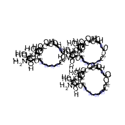 C[C@@H]1C/C=C/C=C/C=C/C=C/[C@H](O[C@@H]2O[C@H](C)[C@@H](O)[C@H](N)[C@@H]2O)C[C@@H]2O[C@](O)(C[C@@H](O)C[C@H]3O[C@@H]3/C=C/C(=O)O1)C[C@H](O)[C@H]2C(=O)O.C[C@@H]1C/C=C/C=C/C=C/C=C/[C@H](O[C@@H]2O[C@H](C)[C@@H](O)[C@H](N)[C@@H]2O)C[C@@H]2O[C@](O)(C[C@@H](O)C[C@H]3O[C@@H]3/C=C/C(=O)O1)C[C@H](O)[C@H]2C(=O)O.C[C@@H]1C/C=C/C=C/C=C/C=C/[C@H](O[C@@H]2O[C@H](C)[C@@H](O)[C@H](N)[C@@H]2O)C[C@@H]2O[C@](O)(C[C@@H](O)C[C@H]3O[C@@H]3/C=C/C(=O)O1)C[C@H](O)[C@H]2C(=O)O